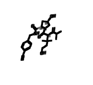 C#Cc1ccc(CNC(=O)[C@@H]2C[C@@H](O)CN2C(=O)[C@@H](NC(C)C)C(C)(C)CCO)cc1